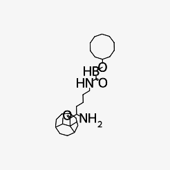 CC1C2CCCCCC(CC2)C1(C)C(=O)C(N)CCCCNC(=O)BOC1CCCCCCCCC1